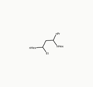 CCCCCCC(CC)CC(CCC)CCCCCC